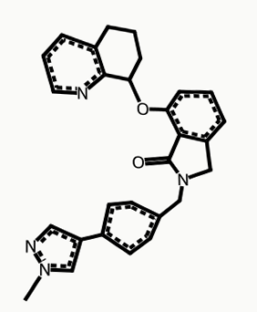 Cn1cc(-c2ccc(CN3Cc4cccc(OC5CCCc6cccnc65)c4C3=O)cc2)cn1